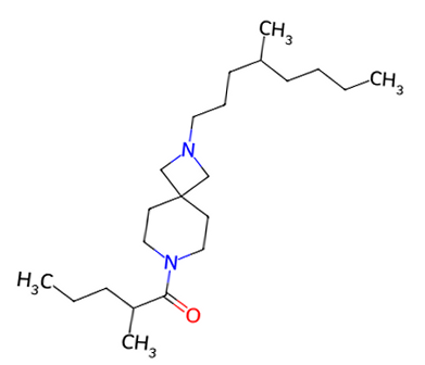 CCCCC(C)CCCN1CC2(CCN(C(=O)C(C)CCC)CC2)C1